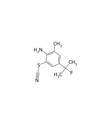 Cc1cc(C(C)(C)F)cc(SC#N)c1N